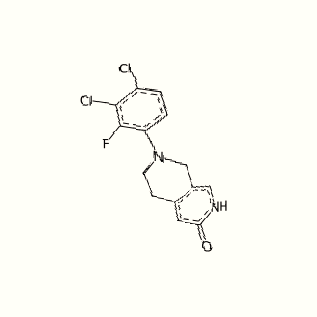 O=c1cc2c(c[nH]1)CN(c1ccc(Cl)c(Cl)c1F)CC2